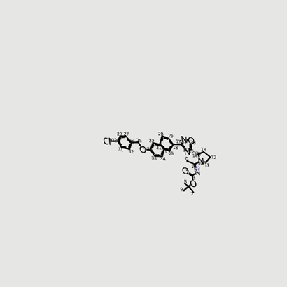 C/C(=N\C(=O)OC(C)(C)C)N1CCC[C@H]1c1nc(-c2ccc3cc(OCc4ccc(Cl)cc4)ccc3c2)no1